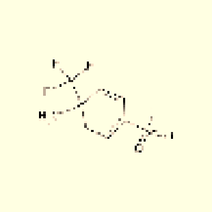 CC1(C(F)(F)F)C=CC(S(=O)(=O)Cl)=CC1